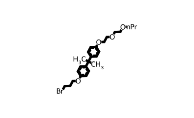 CCCOCCOCCOc1ccc(C(C)(C)c2ccc(OCCCBr)cc2)cc1